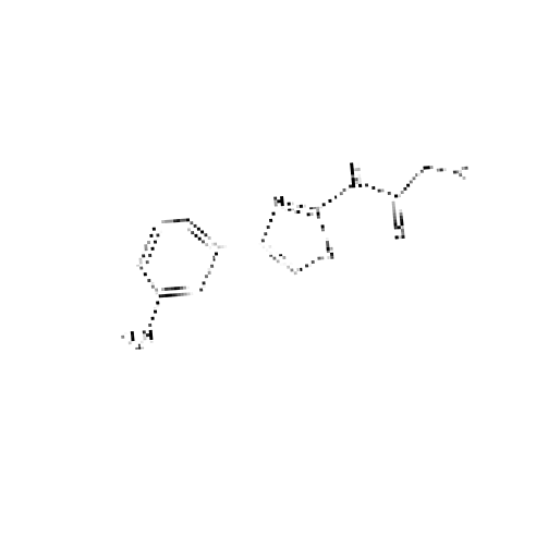 O=C(CCl)Nc1nc(-c2cccc([N+](=O)[O-])c2)cs1